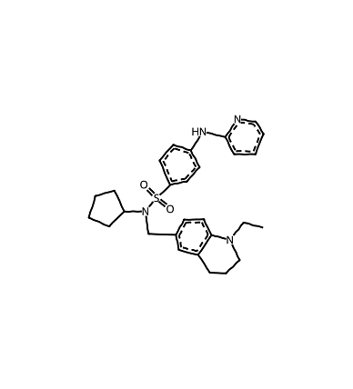 CCN1CCCc2cc(CN(C3CCCC3)S(=O)(=O)c3ccc(Nc4ccccn4)cc3)ccc21